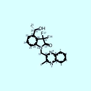 Cc1nc2ccccc2nc1CN1C(=O)C(F)(F)c2c([C@H](C)O)cccc21